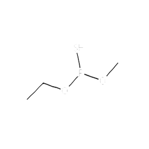 CCOP(S)OC